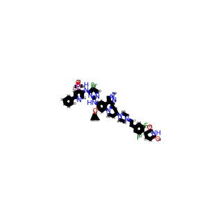 Cn1cc(-c2cc(Nc3ncc(Br)c(Nc4cnc(-c5ccccc5)cc4P(C)(C)=O)n3)c(OC3CC3)cc2N2CCC(N3CCN(CCc4cc(F)c([C@H]5CCC(=O)NC5=O)c(F)c4)CC3)CC2)cn1